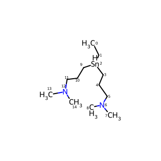 C[CH2][SnH]([CH2]CCN(C)C)[CH2]CCN(C)C